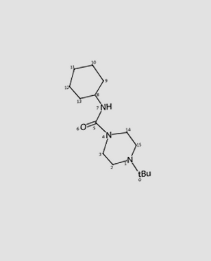 CC(C)(C)N1CCN(C(=O)NC2CCCCC2)CC1